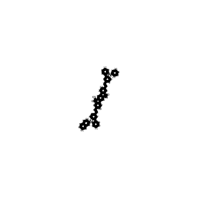 CC1(C)c2cc(/C=C/c3ccc4c(c3)c3ccccc3n4-c3ccccc3)ccc2-c2cc3c(cc21)-c1ccc(/C=C/c2ccc4c(c2)c2ccccc2n4-c2ccc4ccccc4c2)cc1C3(C)C